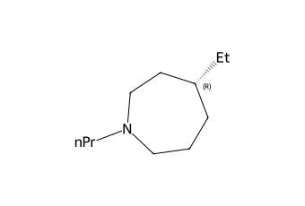 CCCN1CCC[C@@H](CC)CC1